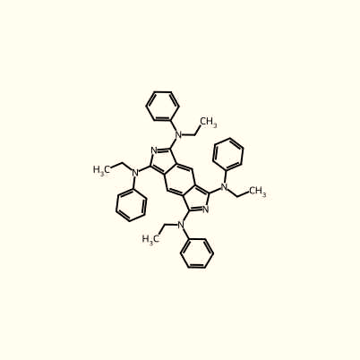 CCN(C1=NC(N(CC)c2ccccc2)=c2cc3c(cc21)=C(N(CC)c1ccccc1)N=C3N(CC)c1ccccc1)c1ccccc1